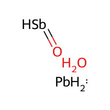 O.[O]=[SbH].[PbH2]